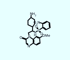 COc1ccc2ncc(=O)n(CC(NS(=O)(=O)c3ccccc3[N+](=O)[O-])C3CCC(N)CC3)c2c1